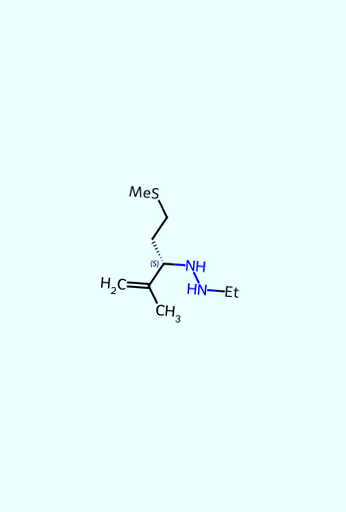 C=C(C)[C@H](CCSC)NNCC